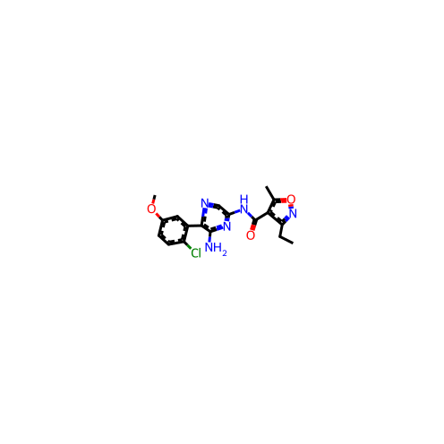 CCc1noc(C)c1C(=O)Nc1cnc(-c2cc(OC)ccc2Cl)c(N)n1